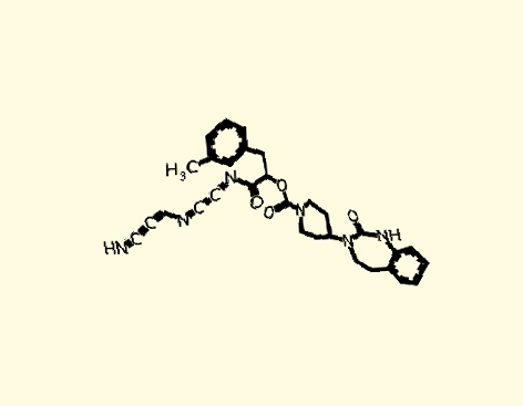 Cc1cccc(C[C@@H](OC(=O)N2CCC(N3CCc4ccccc4NC3=O)CC2)C(=O)N=C=C=NC=C=C=N)c1